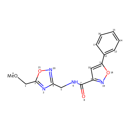 COCc1nc(CNC(=O)c2cc(-c3ccccc3)on2)no1